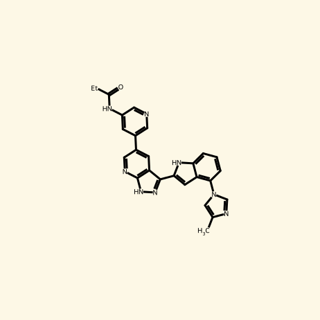 CCC(=O)Nc1cncc(-c2cnc3[nH]nc(-c4cc5c(-n6cnc(C)c6)cccc5[nH]4)c3c2)c1